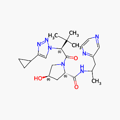 CC(Cc1cnccn1)NC(=O)[C@@H]1C[C@@H](O)CN1C(=O)[C@@H](n1cc(C2CC2)nn1)C(C)(C)C